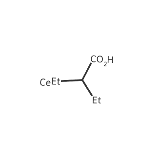 CCC(CC)C(=O)O.[Ce]